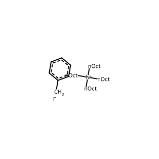 CCCCCCCC[N+](CCCCCCCC)(CCCCCCCC)CCCCCCCC.Cc1ccccc1.[F-]